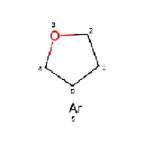 C1CCOC1.[Ar]